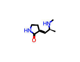 CN[C@@H](C)/C=C1\CCNC1=O